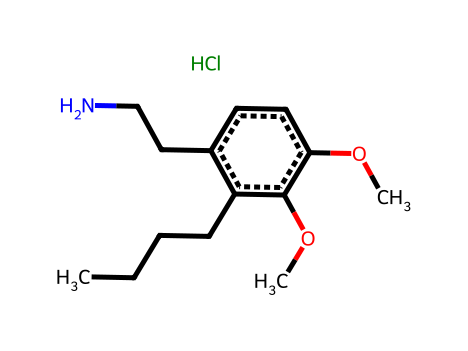 CCCCc1c(CCN)ccc(OC)c1OC.Cl